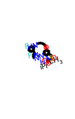 CC(C)OC(=O)N=S(C)(=O)Cc1cc2cc(c1)OCCCCNc1cc(F)ccc1-c1nc(ncc1F)N2